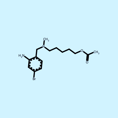 CC(=O)OCCCCCN(C)Cc1ccc(Br)cc1N